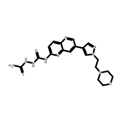 NC(=S)NNC(=O)Nc1ccc2ncc(-c3cnn(CCN4CCOCC4)c3)cc2n1